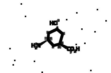 Cl.N[C@@H]1CCC[C@@H](C(=O)O)C1